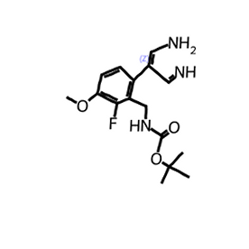 COc1ccc(/C(C=N)=C/N)c(CNC(=O)OC(C)(C)C)c1F